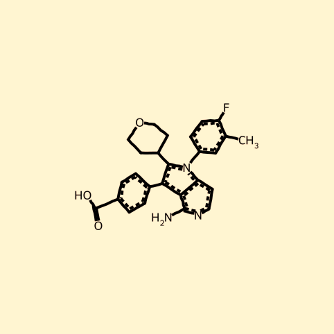 Cc1cc(-n2c(C3CCOCC3)c(-c3ccc(C(=O)O)cc3)c3c(N)nccc32)ccc1F